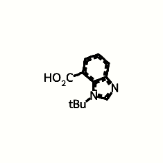 CC(C)(C)n1cnc2cccc(C(=O)O)c21